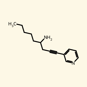 CCCCCC(N)CC#Cc1cccnc1